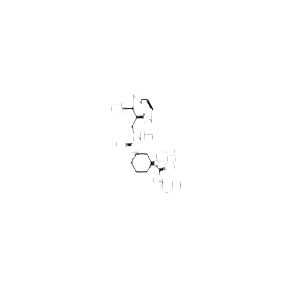 COC(=O)[C@]1(C)CCC[C@H](C(=O)NCc2nccnc2Cl)C1